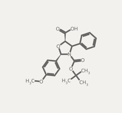 COc1ccc([C@H]2O[C@@H](C(=O)O)C(c3ccccc3)N2C(=O)OC(C)(C)C)cc1